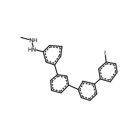 CNNc1cccc(-c2cccc(-c3cccc(-c4cccc(I)c4)c3)c2)c1